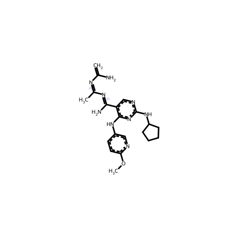 C=C(N)/N=C(C)\N=C(/N)c1cnc(NC2CCCC2)nc1Nc1ccc(OC)nc1